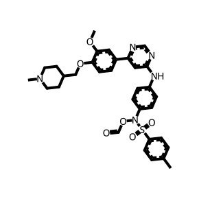 COc1cc(-c2cc(Nc3ccc(N(OC=O)S(=O)(=O)c4ccc(C)cc4)cc3)ncn2)ccc1OCC1CCN(C)CC1